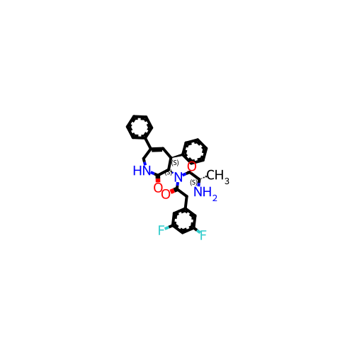 C[C@H](N)C(=O)N(C(=O)Cc1cc(F)cc(F)c1)[C@@H]1C(=O)NCC(c2ccccc2)=C[C@H]1c1ccccc1